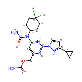 NC(=O)OCc1cc(N(C(N)=O)C2CCC(F)(F)CC2)nc(-n2ccc(C3CC3)n2)n1